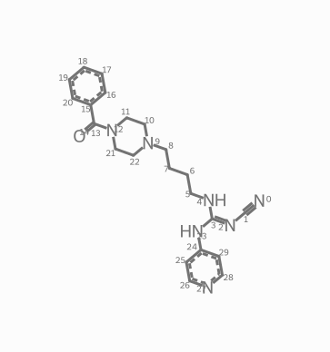 N#C/N=C(\NCCCCN1CCN(C(=O)c2ccccc2)CC1)Nc1ccncc1